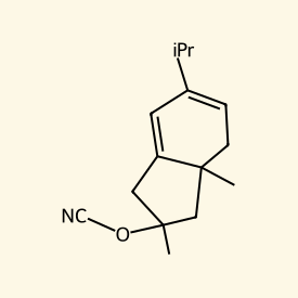 CC(C)C1=CCC2(C)CC(C)(OC#N)CC2=C1